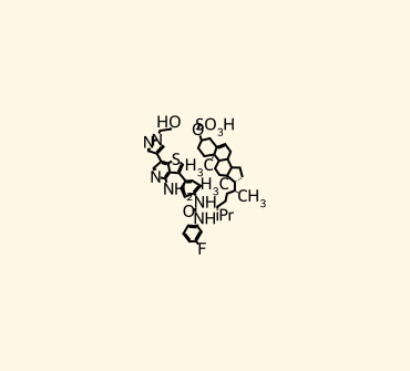 CC(C)CCC[C@@H](C)[C@H]1CCC2C3CC=C4CC(OS(=O)(=O)O)CC[C@]4(C)C3CC[C@@]21C.Nc1ncc(-c2cnn(CCO)c2)c2scc(-c3ccc(NC(=O)Nc4cccc(F)c4)cc3)c12